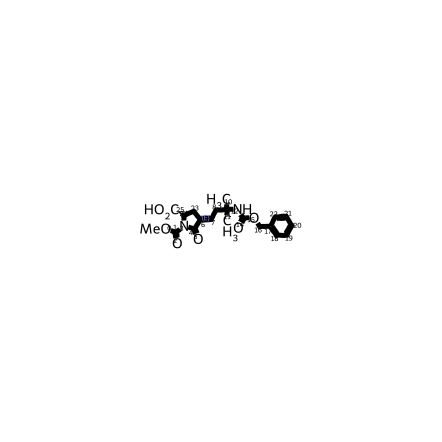 COC(=O)N1C(=O)/C(=C/CC(C)(C)NC(=O)OCc2ccccc2)C[C@H]1C(=O)O